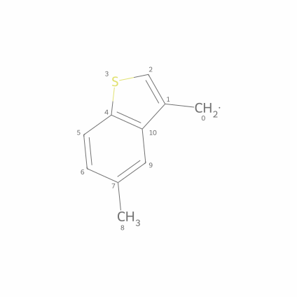 [CH2]c1csc2ccc(C)cc12